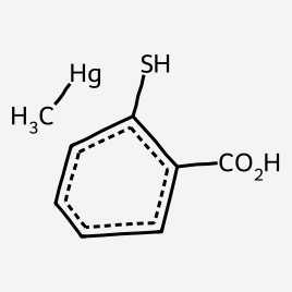 O=C(O)c1ccccc1S.[CH3][Hg]